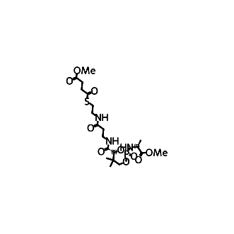 COC(=O)CCC(=O)SCCNC(=O)CCNC(=O)[C@@H]1OP(=O)(N[C@@H](C)C(=O)OC)OCC1(C)C